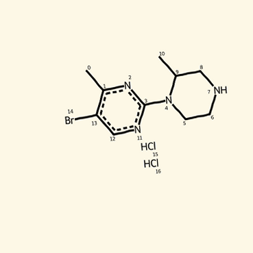 Cc1nc(N2CCNCC2C)ncc1Br.Cl.Cl